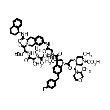 C[C@@H]1COCCN1C[C@H]1CN(C(=O)O)[C@H](C)CN1CC(=O)N1C[C@@](C)(C(=O)NCC(=O)Nc2ccc3c(c2)CN(C(=O)[C@@H](NC(=O)[C@H](C)N(C)C(=O)OC(C)(C)C)C(C)(C)C)[C@H](C(=O)N[C@@H]2CCCc4ccccc42)C3)c2ccc(Cc3ccc(F)cc3)cc21